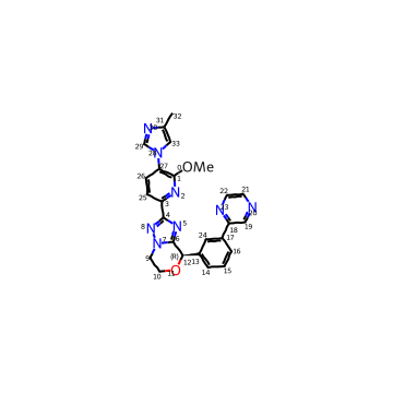 COc1nc(-c2nc3n(n2)CCO[C@@H]3c2cccc(-c3cnccn3)c2)ccc1-n1cnc(C)c1